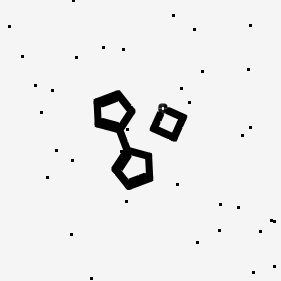 C1=CCC(C2=CC=CC2)=C1.C1COC1